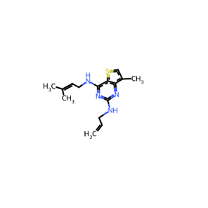 C=CCNc1nc(NCC=C(C)C)c2scc(C)c2n1